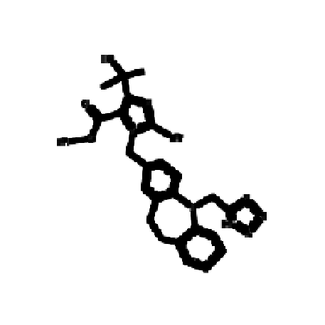 CCCOC(=O)c1c(C(C)(C)O)nc(CCC)n1Cc1ccc2c(c1)CCc1ccccc1N2Cc1nnn[nH]1